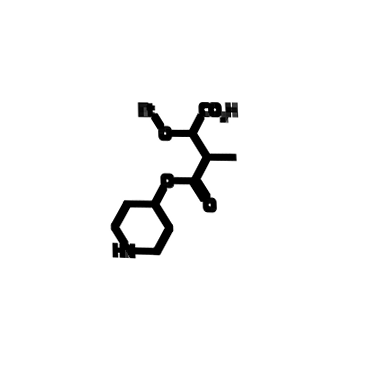 CCOC(C(=O)O)C(C)C(=O)OC1CCNCC1